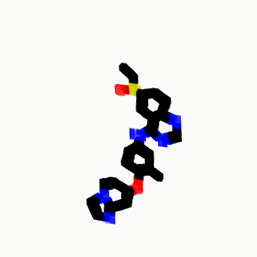 CC[S+]([O-])c1ccc2ncnc(Nc3ccc(Oc4ccn5ccnc5c4)c(C)c3)c2c1